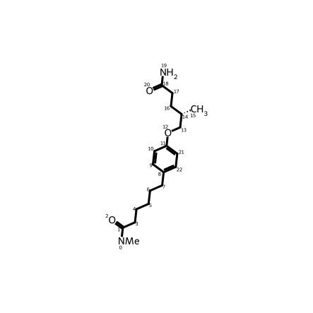 CNC(=O)CCCCCc1ccc(OC[C@@H](C)CCC(N)=O)cc1